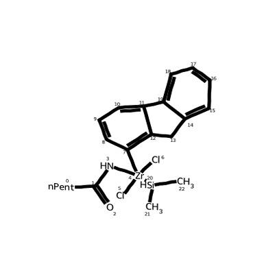 CCCCCC(=O)[NH][Zr]([Cl])([Cl])([c]1cccc2c1Cc1ccccc1-2)[SiH](C)C